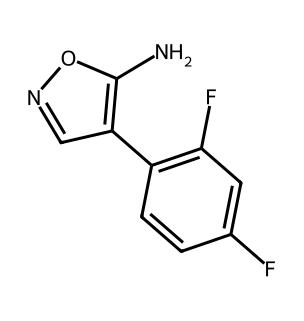 Nc1oncc1-c1ccc(F)cc1F